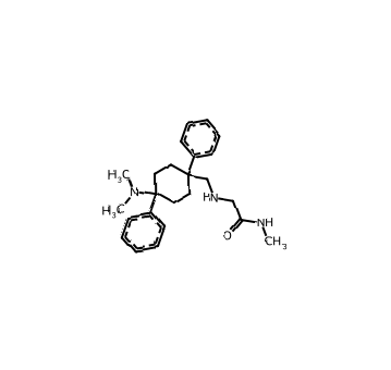 CNC(=O)CNCC1(c2ccccc2)CCC(c2ccccc2)(N(C)C)CC1